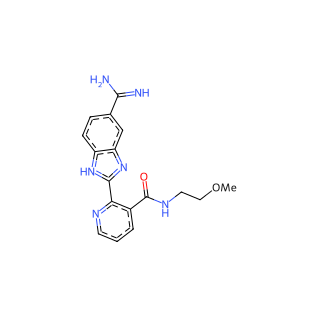 COCCNC(=O)c1cccnc1-c1nc2cc(C(=N)N)ccc2[nH]1